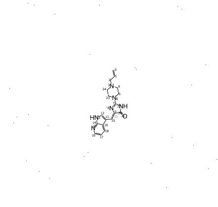 C=CCN1CCN(C2=N/C(=C\c3c[nH]c4ncccc34)C(=O)N2)CC1